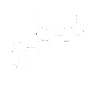 CNc1cn(-c2ccc3c(c2)n(C)c(=O)n3C)c(=O)n(C2CCc3c2cccc3C(F)(F)F)c1=O